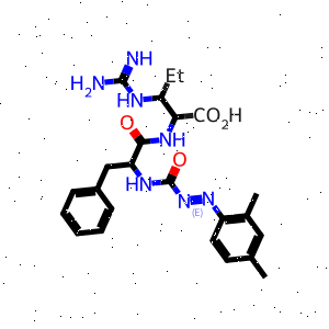 CCC(NC(=N)N)C(NC(=O)C(Cc1ccccc1)NC(=O)/N=N/c1ccc(C)cc1C)C(=O)O